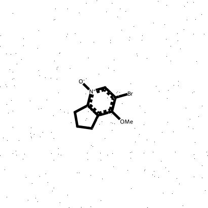 COc1c(Br)c[n+]([O-])c2c1CCC2